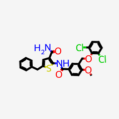 COc1ccc(C(=O)Nc2sc(Cc3ccccc3)cc2C(N)=O)cc1COc1c(Cl)cccc1Cl